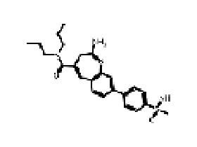 CCCN(CCC)C(=O)C1=Cc2ccc(-c3ccc(S(C)(=N)=O)cc3)cc2N=C(N)C1